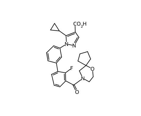 O=C(O)c1cnn(-c2cccc(-c3cccc(C(=O)N4CCOC5(CCCC5)C4)c3F)c2)c1C1CC1